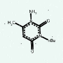 CCCCn1c(=O)cc(C)n(N)c1=O